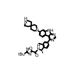 Cc1cc(-c2ncnc3[nH]c4cc(N5CCC6(CCNCC6)CC5)ccc4c23)ccc1[C@@H](C)NC(=O)c1nc(C(C)(C)C)no1